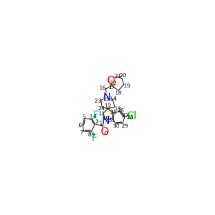 O=C(c1c(F)cccc1F)N1CC2(CCN(CC3CCCCO3)CC2)c2cc(Cl)ccc21